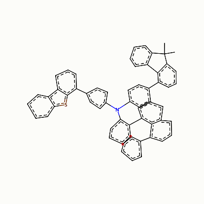 CC1(C)c2ccccc2-c2c(-c3ccc(N(c4ccc(-c5cccc6c5sc5ccccc56)cc4)c4ccccc4-c4cccc5cccc(-c6ccccc6)c45)cc3)cccc21